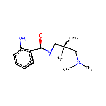 CN(C)CC(C)(C)CNC(=O)c1ccccc1N